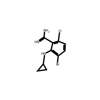 N=C(N)c1c(Cl)ccc(Br)c1NC1CC1